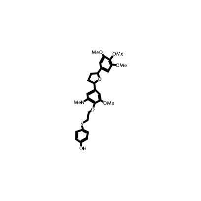 CNc1cc(C2CCC(c3cc(OC)c(OC)c(OC)c3)O2)cc(OC)c1OCCSc1ccc(O)cc1